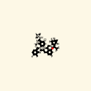 Cc1c(F)ccc2c(=O)n(-c3ccc(Cl)c4c(NS(C)(=O)=O)nn(C)c34)c(C(Cc3cc(F)cc(F)c3)NC(=O)Cn3nc(C(F)F)c4c3C(F)(F)[C@@H]3C[C@H]43)nc12